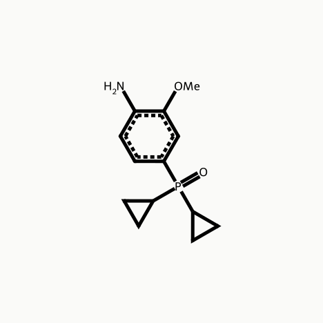 COc1cc(P(=O)(C2CC2)C2CC2)ccc1N